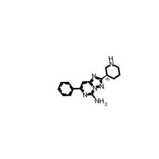 Nc1nc(-c2ccccc2)cc2nc([C@@H]3CCCNC3)nn12